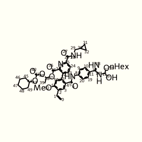 C=Cc1cc(C(=O)Nc2ccc(C(=N)NC(O)OCCCCCC)cc2)c(-c2ccc(C(=O)NCC3CC3)nc2C(=O)OC(C)OC(=O)OC2CCCCC2)cc1OC